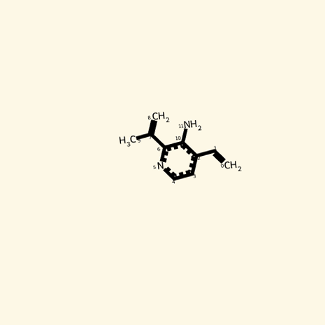 C=Cc1ccnc(C(=C)C)c1N